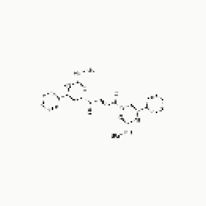 CC(C)(C)NC(=O)N[C@@H](COC(=O)/C=C/C(=O)OC[C@H](NC(=O)NC(C)(C)C)c1ccccc1)c1ccccc1